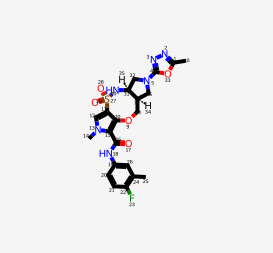 Cc1nnc(N2C[C@H]3COc4c(cn(C)c4C(=O)Nc4ccc(F)c(C)c4)S(=O)(=O)N[C@H]3C2)o1